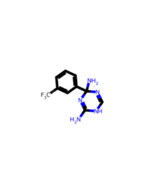 NC1=NC(N)(c2cccc(C(F)(F)F)c2)N=CN1